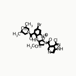 CO[C@H]1CN(C(=O)c2cncc3[nH]nc(Cl)c23)C[C@@H]1Nc1c(C(=O)N2C[C@@H](C)O[C@@H](C)C2)cc(Br)cc1[N+](=O)[O-]